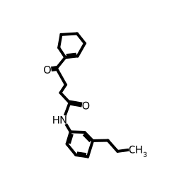 CCCc1cccc(NC(=O)CCC(=O)C2=CCCCC2)c1